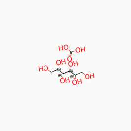 O=C(O)O.OC[C@@H](O)[C@@H](O)[C@H](O)[C@@H](O)CO